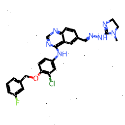 CN1CCN=C1N/N=C/c1ccc2ncnc(Nc3ccc(OCc4cccc(F)c4)c(Cl)c3)c2c1